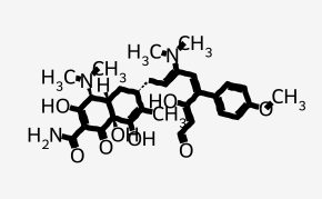 COc1ccc(C(=C/C(=C/C[C@H]2C[C@H]3[C@H](N(C)C)C(O)=C(C(N)=O)C(=O)[C@@]3(O)C(O)=C2C)N(C)C)/C(O)=C/C=O)cc1